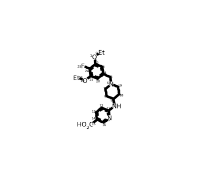 CCOc1cc(CN2CCC(Nc3ccc(C(=O)O)cn3)CC2)cc(OCC)c1F